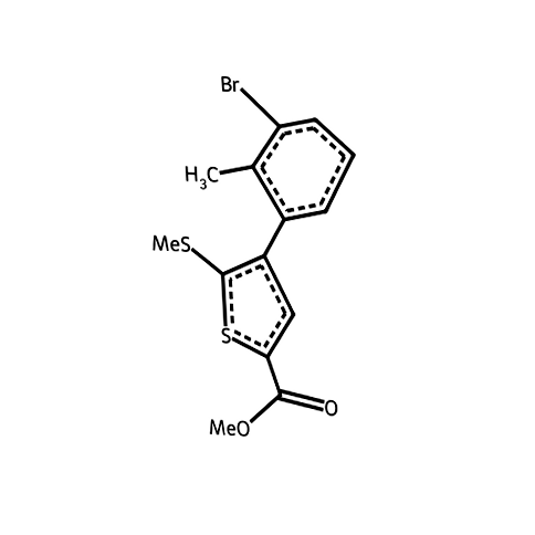 COC(=O)c1cc(-c2cccc(Br)c2C)c(SC)s1